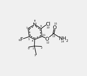 CC(C)(C)c1c(F)cnc(Cl)c1OC(N)=O